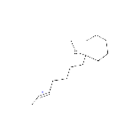 C/C=C/CCCCC1(OC)CCCCC1